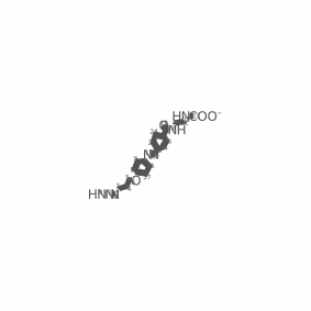 N=[N+]=NCCCOc1ccc(N=Nc2ccc(C(=O)NCCNC(=O)[O-])cc2)cc1